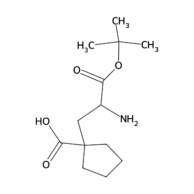 CC(C)(C)OC(=O)C(N)CC1(C(=O)O)CCCC1